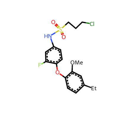 CCc1ccc(Oc2ccc(NS(=O)(=O)CCCCl)cc2F)c(OC)c1